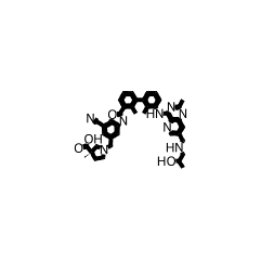 Cc1nc(Nc2cccc(-c3cccc(-c4nc5cc(CN6CC[C@@](C)(C(=O)O)C6)cc(C#N)c5o4)c3C)c2C)c2ncc(CNCC(C)O)cc2n1